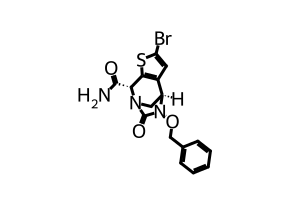 NC(=O)[C@@H]1c2sc(Br)cc2[C@@H]2CN1C(=O)N2OCc1ccccc1